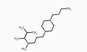 CCCCN1CCN(CCCN(C)C(C)C(C)C)CC1